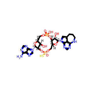 Nc1ncnc2c1ncn2[C@@H]1O[C@@H]2COP(=O)(O)O[C@H]3[C@@H](O)[C@H](n4cc5c6c(ncnc64)NCCC5)O[C@@H]3COP(=O)(S)O[C@@H]1[C@@H]2O